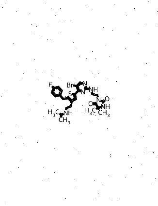 CC(C)NCCc1cc(-c2nc(NCCN3C(=O)NC(C)(C)C3=O)ncc2Br)sc1Cc1ccc(F)cc1